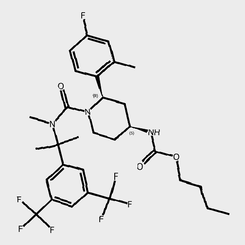 CCCCOC(=O)N[C@H]1CCN(C(=O)N(C)C(C)(C)c2cc(C(F)(F)F)cc(C(F)(F)F)c2)[C@@H](c2ccc(F)cc2C)C1